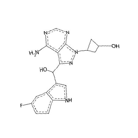 Nc1ncnc2c1c(C(O)c1c[nH]c3ccc(F)cc13)nn2C1CC(O)C1